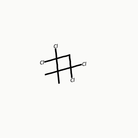 CC1(C)C(Cl)(Cl)CC1(Cl)Cl